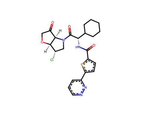 O=C(N[C@H](C(=O)N1C[C@H](Cl)[C@H]2OCC(=O)[C@H]21)C1CCCCC1)c1ccc(-c2cccnn2)s1